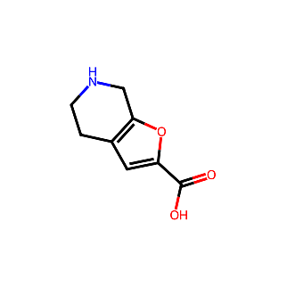 O=C(O)c1cc2c(o1)CNCC2